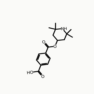 CC1(C)CC(OC(=O)c2ccc(C(=O)O)cc2)CC(C)(C)N1